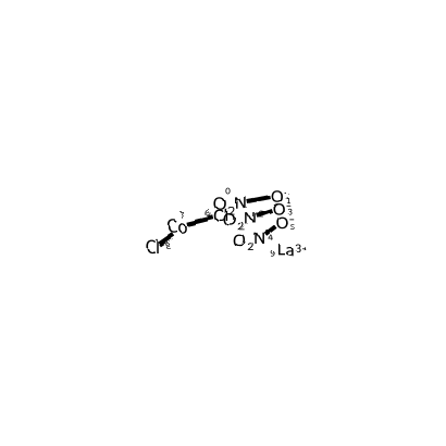 O=[N+]([O-])[O-].O=[N+]([O-])[O-].O=[N+]([O-])[O-].[Cl][Co][Cl].[La+3]